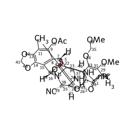 CCCC(=O)N[C@H]1CS[C@@H]2c3c(OC(C)=O)c(C)c4c(c3[C@H](COC1=O)N1C2[C@@H]2N[C@@H](Cc3cc(C)c(OC)c(OCOC)c32)[C@@H]1C#N)OCO4